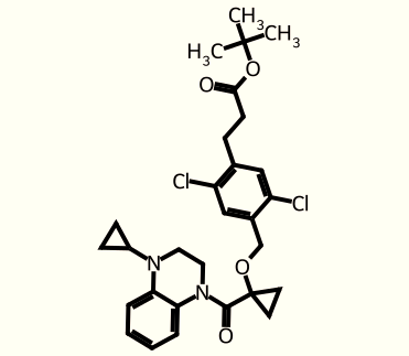 CC(C)(C)OC(=O)CCc1cc(Cl)c(COC2(C(=O)N3CCN(C4CC4)c4ccccc43)CC2)cc1Cl